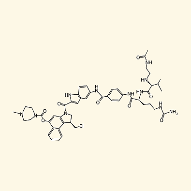 CC(=O)NCCN[C@H](C(=O)N[C@@H](CCCNC(N)=O)C(=O)Nc1ccc(C(=O)Nc2ccc3[nH]c(C(=O)N4C[C@@H](CCl)c5c4cc(OC(=O)N4CCN(C)CC4)c4ccccc54)cc3c2)cc1)C(C)C